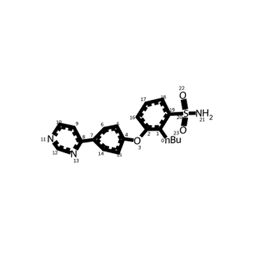 CCCCc1c(Oc2ccc(-c3ccncn3)cc2)cccc1S(N)(=O)=O